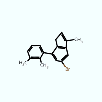 CC1=CCc2c1cc(Br)cc2-c1cccc(C)c1C